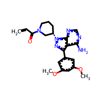 C=CC(=O)N1CCC[C@H](n2nc(-c3cc(OC)cc(OC)c3)c3c(N)ncnc32)C1